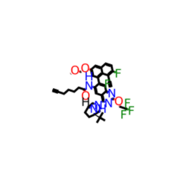 C#CCCCCC(=O)Nc1cc2c(N3C[C@@H]4CC[C@@](C(C)(C)C)(C3)N4)nc(OCC(F)(F)F)nc2c(F)c1-c1cc(OCOC)cc2ccc(F)c(C#C)c12